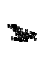 CC(C)C[C@@H](Nc1cc(C#N)c(C(=O)CO)c(Nc2cccc(S(C)(=O)=O)c2)n1)C(N)=O